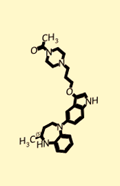 CC(=O)N1CCN(CCCOc2c[nH]c3ccc(N4CC[C@H](C)Nc5ccccc54)cc23)CC1